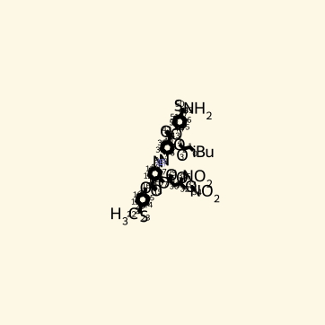 CCC(C)CC(=O)Oc1cc(/N=N/c2ccc(C(=O)Oc3ccc(C(C)=S)cc3)c(OC(=O)CC(CO[N+](=O)[O-])O[N+](=O)[O-])c2)ccc1C(=O)Oc1ccc(C(N)=S)cc1